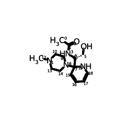 CC(=O)N[C@H](CO)C1(N2CCN(C)CC2)C=CC=CN1